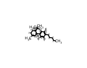 CCCCCc1c(F)c(F)c2c(c1F)OC(C)(C)[C@H]1CCC(C)=C[C@H]21